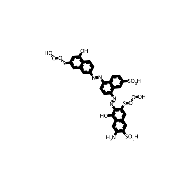 Nc1cc2c(O)c(N=Nc3ccc(N=Nc4ccc5c(O)cc(SOOO)cc5c4)c4ccc(S(=O)(=O)O)cc34)c(SOOO)cc2cc1S(=O)(=O)O